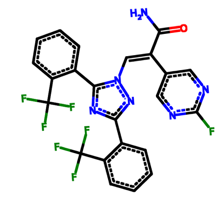 NC(=O)/C(=C/n1nc(-c2ccccc2C(F)(F)F)nc1-c1ccccc1C(F)(F)F)c1cnc(F)nc1